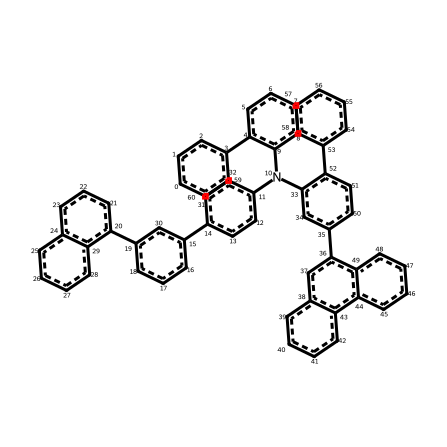 c1ccc(-c2ccccc2N(c2ccc(-c3cccc(-c4cccc5ccccc45)c3)cc2)c2cc(-c3cc4ccccc4c4ccccc34)ccc2-c2ccccc2)cc1